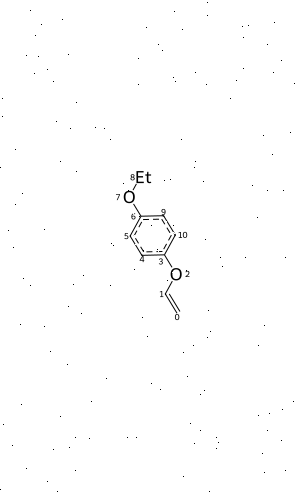 C=COc1ccc(OCC)cc1